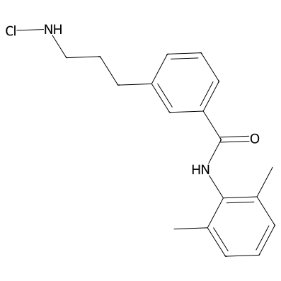 Cc1cccc(C)c1NC(=O)c1cccc(CCCNCl)c1